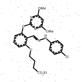 CCOC(=O)CCCOc1cccc(Oc2nc(OC)cc(OC)n2)c1/C=N/Nc1ccc(Cl)cc1